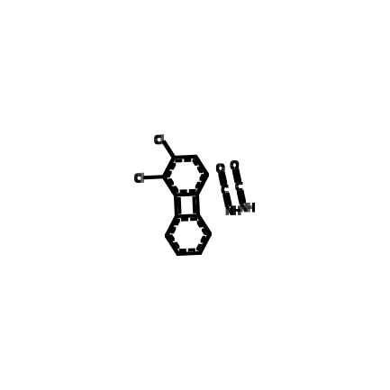 Clc1ccc2c(c1Cl)=c1ccccc1=2.N=C=O.N=C=O